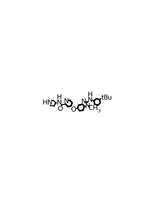 Cn1c(Nc2cccc(C(C)(C)C)c2)nc2cc(Oc3ccnc(C(=O)N[C@@H]4CCNC4)c3)ccc21